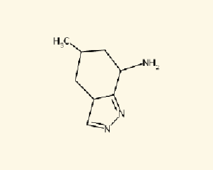 CC1CC(N)C2=NN=CC2C1